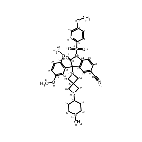 COc1ccc(S(=O)(=O)N2C(=O)C(c3cc(OC)ccc3OC)(N3CC4(CN(C5CCN(C)CC5)C4)C3)c3cc(C#N)ccc32)nc1